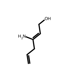 C=CCC(N)=CCO